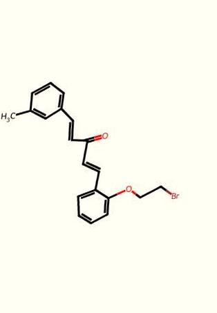 Cc1cccc(C=CC(=O)C=Cc2ccccc2OCCBr)c1